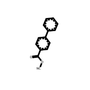 N#COC(=O)c1ccc(-c2ccccc2)cc1